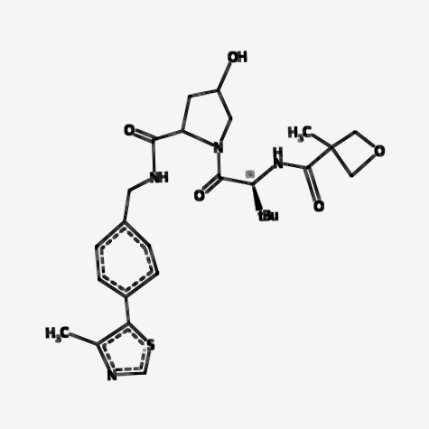 Cc1ncsc1-c1ccc(CNC(=O)C2CC(O)CN2C(=O)[C@@H](NC(=O)C2(C)COC2)C(C)(C)C)cc1